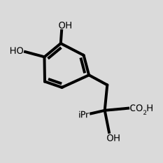 CC(C)C(O)(Cc1ccc(O)c(O)c1)C(=O)O